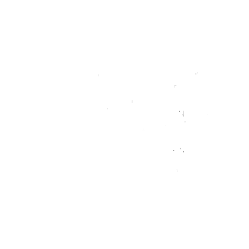 CCCCCCCc1n(C(C)C)cc[n+]1C(C)C